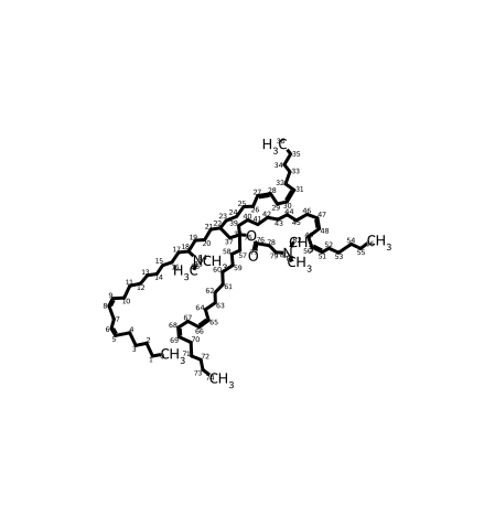 CCCCC/C=C\C/C=C\CCCCCCCCC(CCCC(CCCC/C=C\C/C=C\CCCCC)CC(CCCCCCCC/C=C\C/C=C\CCCCC)(CCCCCCCC/C=C\C/C=C\CCCCC)OC(=O)CCN(C)C)N(C)C